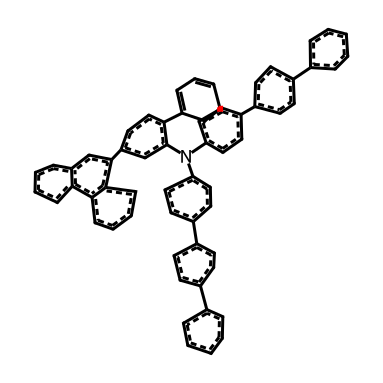 C1=CCCC(c2ccc(-c3cc4ccccc4c4ccccc34)cc2N(c2ccc(-c3ccc(-c4ccccc4)cc3)cc2)c2ccc(-c3ccc(-c4ccccc4)cc3)cc2)=C1